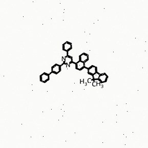 CC1(C)c2ccccc2-c2ccc(-c3ccc(-c4cc(-c5ccccc5)nc(-c5ccc(-c6ccccc6)cc5)n4)c4ccccc34)cc21